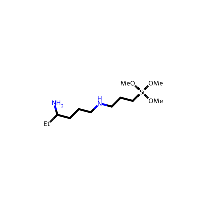 CCC(N)CCCNCCC[Si](OC)(OC)OC